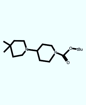 CC1(C)CCN(C2CCN(C(=O)OC(C)(C)C)CC2)CC1